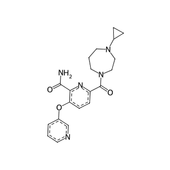 NC(=O)c1nc(C(=O)N2CCCN(C3CC3)CC2)ccc1Oc1cccnc1